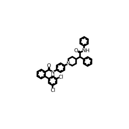 O=C(Nc1ccc(N2CCC(C(C(=O)Nc3ccccc3)c3ccccc3)CC2)cc1)c1ccccc1-c1cc(Cl)cc(Cl)c1